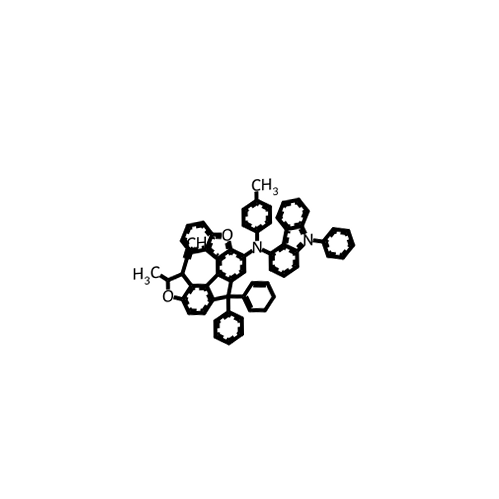 C#CC1c2c(ccc3c2-c2c(cc(N(c4ccc(C)cc4)c4cccc5c4c4ccccc4n5-c4ccccc4)c4oc5ccccc5c24)C3(C2=CCCC=C2)c2ccccc2)OC1C